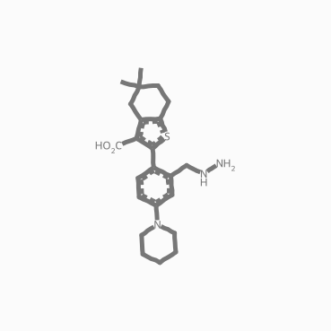 CC1(C)CCc2sc(-c3ccc(N4CCCCC4)cc3CNN)c(C(=O)O)c2C1